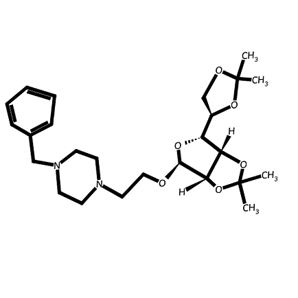 CC1(C)O[C@@H]2[C@H](O1)[C@@H](OCCN1CCN(Cc3ccccc3)CC1)O[C@@H]2[C@H]1COC(C)(C)O1